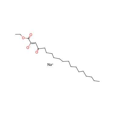 CCCCCCCCCCCCCCCC(=O)C=C([O-])C(=O)OCC.[Na+]